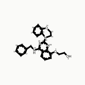 OCCOc1cccc2c(NCc3ccccc3)nc(N3CCOc4ccccc43)nc12